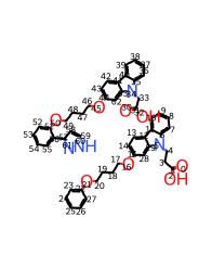 O=C(O)CCn1c2ccccc2c2ccc(OCCCCOc3ccccc3)cc21.O=C(O)Cn1c2ccccc2c2ccc(OCCCCOc3ccccc3-c3cc[nH]n3)cc21